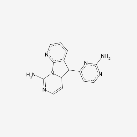 NC1=NC=CC2C(c3ccnc(N)n3)c3cccnc3N12